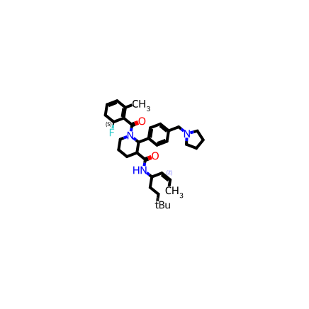 C/C=C\C(CCC(C)(C)C)NC(=O)C1CCCN(C(=O)C2=C(C)C=CC[C@@H]2F)C1c1ccc(CN2CCCC2)cc1